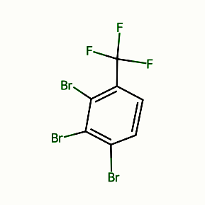 FC(F)(F)c1ccc(Br)c(Br)c1Br